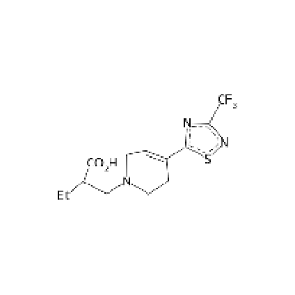 CCC(CN1CC=C(c2nc(C(F)(F)F)ns2)CC1)C(=O)O